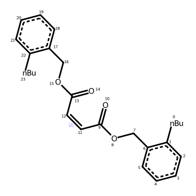 CCCCc1ccccc1COC(=O)/C=C\C(=O)OCc1ccccc1CCCC